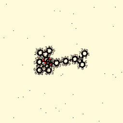 c1ccc(-n2c3ccccc3c3cc(-c4ccc(-c5ccc(N(c6ccc7c8ccccc8c8ccccc8c7c6)c6cccc7c6C6(c8ccccc8-c8ccccc86)c6ccccc6-7)cc5)cc4)ccc32)cc1